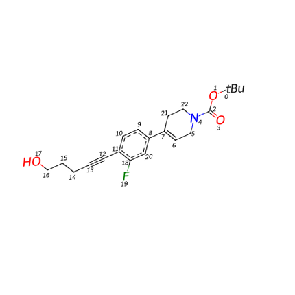 CC(C)(C)OC(=O)N1CC=C(c2ccc(C#CCCCO)c(F)c2)CC1